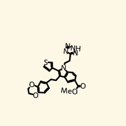 COC(=O)c1ccc2c(c1)c(CCc1ccc3c(c1)OCCO3)c(-c1ccsc1)n2CCc1nn[nH]n1